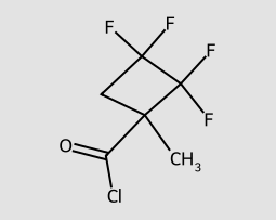 CC1(C(=O)Cl)CC(F)(F)C1(F)F